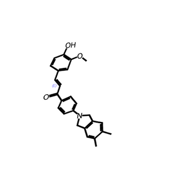 COc1cc(/C=C/C(=O)c2ccc(N3Cc4cc(C)c(C)cc4C3)cc2)ccc1O